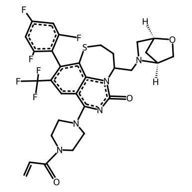 C=CC(=O)N1CCN(c2nc(=O)n3c4c(c(-c5c(F)cc(F)cc5F)c(C(F)(F)F)cc24)SCCC3CN2C[C@@H]3C[C@H]2CO3)CC1